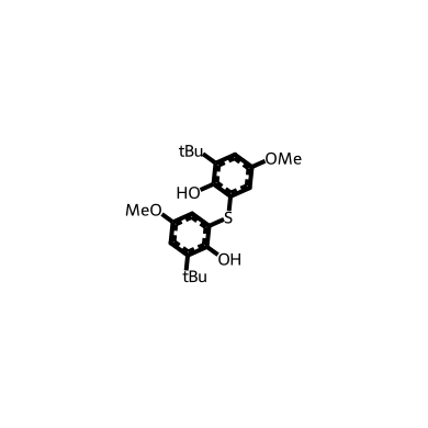 COc1cc(Sc2cc(OC)cc(C(C)(C)C)c2O)c(O)c(C(C)(C)C)c1